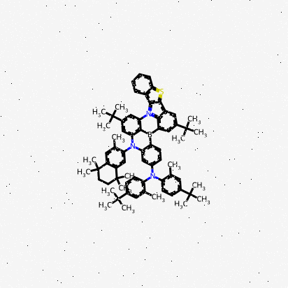 Cc1cc(C(C)(C)C)ccc1N(c1ccc2c(c1)N(c1cc3c(cc1C)C(C)(C)CCC3(C)C)c1cc(C(C)(C)C)cc3c1B2c1cc(C(C)(C)C)cc2c4sc5ccccc5c4n-3c12)c1ccc(C(C)(C)C)cc1C